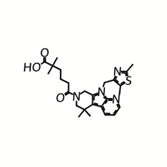 Cc1nc(Cn2c3c(c4cccnc42)C(C)(C)CN(C(=O)CCCC(C)(C)C(=O)O)C3)c(C)s1